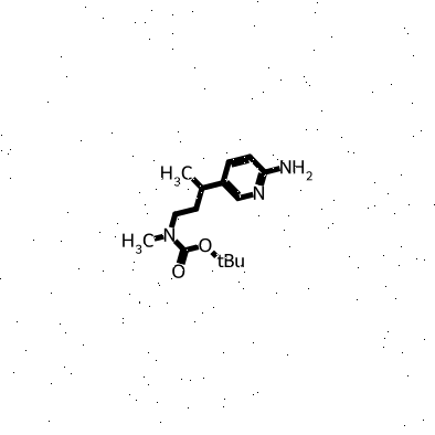 CC(CCN(C)C(=O)OC(C)(C)C)c1ccc(N)nc1